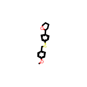 COc1ccc(CSc2ccc(C3CCCCO3)cc2)cc1